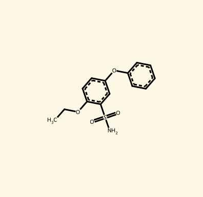 CCOc1ccc(Oc2ccccc2)cc1S(N)(=O)=O